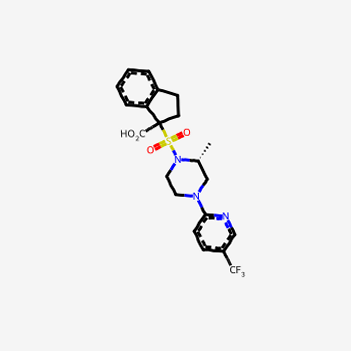 C[C@@H]1CN(c2ccc(C(F)(F)F)cn2)CCN1S(=O)(=O)C1(C(=O)O)CCc2ccccc21